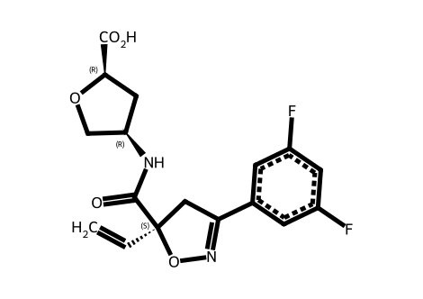 C=C[C@]1(C(=O)N[C@H]2CO[C@@H](C(=O)O)C2)CC(c2cc(F)cc(F)c2)=NO1